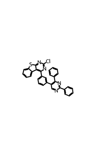 Clc1nc(-c2cccc(-c3cnc(-c4ccccc4)nc3-c3ccccc3)c2)c2c(n1)sc1ccccc12